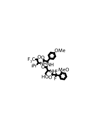 COc1ccc(C(NC(=O)C(CO)NC(=O)C(F)(F)c2ccccc2OC)C(=O)NC(C(=O)C(F)(F)F)C(C)C)cc1